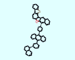 c1cc(-c2cccc3ccccc23)cc(-c2c3ccccc3c(-c3ccc(-c4c5ccccc5cc5c4oc4ccc6c7ccccc7sc6c45)cc3)c3ccccc23)c1